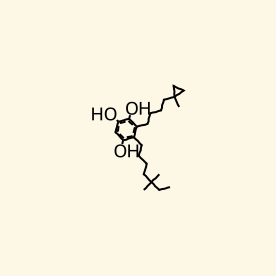 CCC(C)(C)CCCCc1c(O)cc(O)c(O)c1CCCCC1(C)CC1